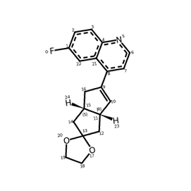 Fc1ccc2nccc(C3=C[C@@H]4CC5(C[C@@H]4C3)OCCO5)c2c1